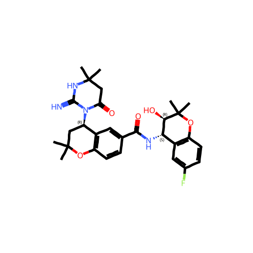 CC1(C)CC(=O)N([C@@H]2CC(C)(C)Oc3ccc(C(=O)N[C@H]4c5cc(F)ccc5OC(C)(C)[C@@H]4O)cc32)C(=N)N1